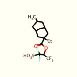 CCC1(C(=O)OC(C(F)(F)F)C(F)(F)S(=O)(=O)O)CC2CC(C)CC(C2)C1